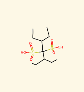 CCC(CC)C(C(CC)CC)(S(=O)(=O)O)S(=O)(=O)O